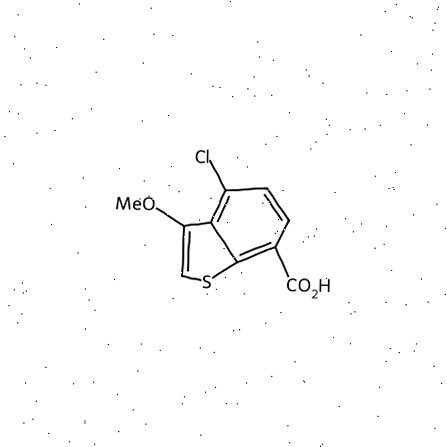 COc1csc2c(C(=O)O)ccc(Cl)c12